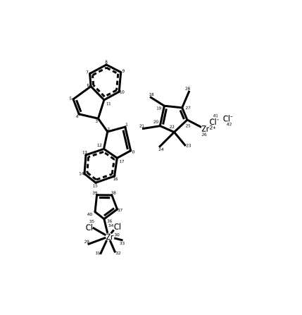 C1=CC(C2C=Cc3ccccc32)c2ccccc21.CC1=C(C)C(C)(C)[C]([Zr+2])=C1C.[CH3][Zr]([CH3])([CH3])([CH3])([Cl])([Cl])[C]1=CC=CC1.[Cl-].[Cl-]